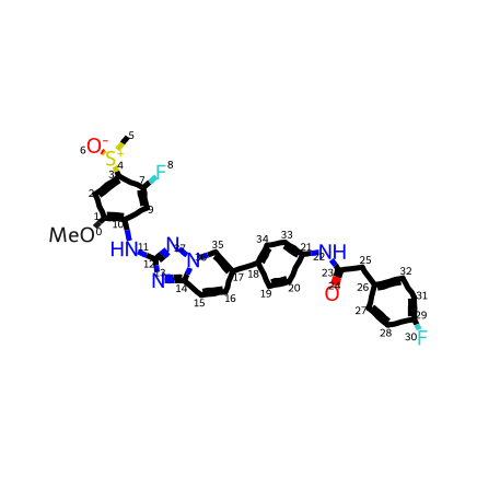 COc1cc([S+](C)[O-])c(F)cc1Nc1nc2ccc(-c3ccc(NC(=O)Cc4ccc(F)cc4)cc3)cn2n1